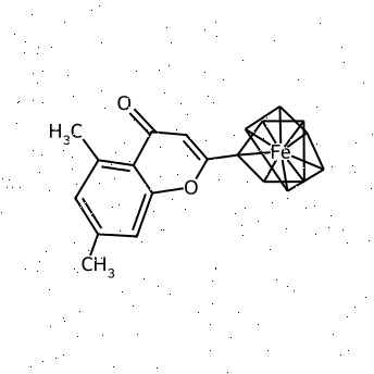 Cc1cc(C)c2c(=O)cc([C]34[CH]5[CH]6[CH]7[CH]3[Fe]6754389%10[CH]4[CH]3[CH]8[CH]9[CH]4%10)oc2c1